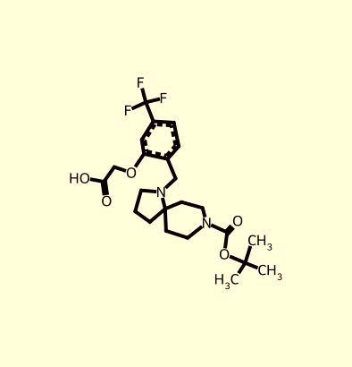 CC(C)(C)OC(=O)N1CCC2(CCCN2Cc2ccc(C(F)(F)F)cc2OCC(=O)O)CC1